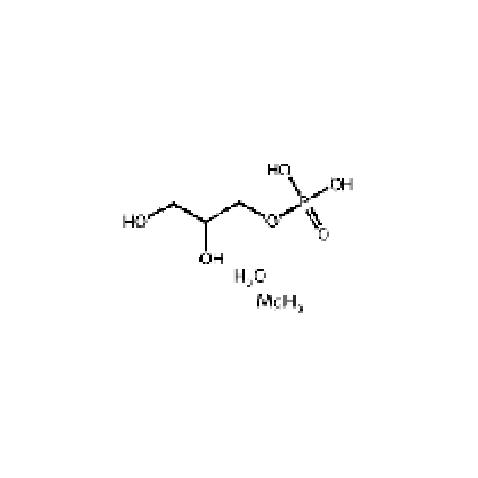 O.O=P(O)(O)OCC(O)CO.[MgH2]